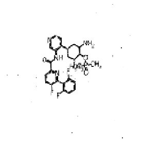 CC1CC(c2ccncc2NC(=O)c2ccc(F)c(-c3c(F)cccc3F)n2)CC(N)C1OP(C)(C)=O